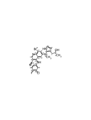 CC(O)Cc1nn[nH]c1N(C)c1cc(Br)c2ncc(C#N)c(Nc3ccc(F)c(Cl)c3)c2c1